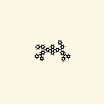 c1ccc(-c2sc3cc(N(c4ccc(-c5c6ccccc6c(-c6ccc(N(c7cccc(-c8ccncc8)c7)c7ccc8c(-c9ccccc9)c(-c9ccccc9)sc8c7)cc6)c6ccccc56)cc4)c4cccc(-c5ccncc5)c4)ccc3c2-c2ccccc2)cc1